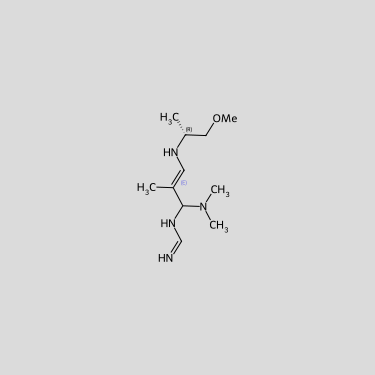 COC[C@@H](C)N/C=C(\C)C(NC=N)N(C)C